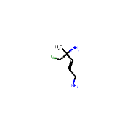 CC(N)(/C=C/CN)CF